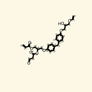 C=COCC(O)COc1ccc(Cc2ccc(OCC(COC(=O)C=C)OC(=O)CC=O)cc2)cc1